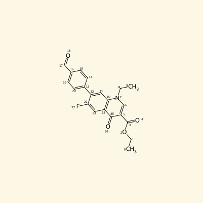 CCOC(=O)c1cn(CC)c2cc(-c3ccc(C=O)cc3)c(F)cc2c1=O